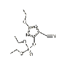 CCOc1nc(OP(=O)(OCC)OCC)c(C#N)s1